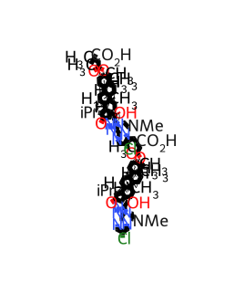 CNCCn1c(-c2ncc(Cl)cn2)nnc1C(O)[C@@]12CC[C@]3(C)[C@H](CC[C@@H]4[C@@]5(C)CC[C@H](OC(=O)CC(C)(Cc6nc(-c7nnc([C@H](O)[C@@]89CC[C@]%10(C)[C@H](CC[C@@H]%11[C@@]%12(C)CC[C@H](OC(=O)CC(C)(C)C(=O)O)C(C)(C)[C@@H]%12CC[C@]%11%10C)C8=C(C(C)C)C(=O)C9)n7CCNC)ncc6Cl)C(=O)O)C(C)(C)[C@@H]5CC[C@]43C)C1=C(C(C)C)C(=O)C2